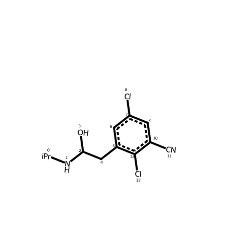 CC(C)NC(O)Cc1cc(Cl)cc(C#N)c1Cl